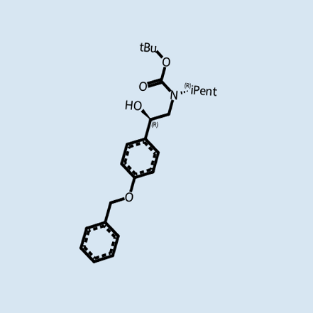 CCC[C@@H](C)N(C[C@H](O)c1ccc(OCc2ccccc2)cc1)C(=O)OC(C)(C)C